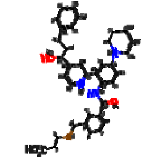 O=C(O)CCSCc1cccc(C(=O)Nc2ccc(N3CCCCC3)cc2-c2cc(C(O)CCc3ccccc3)ccn2)c1